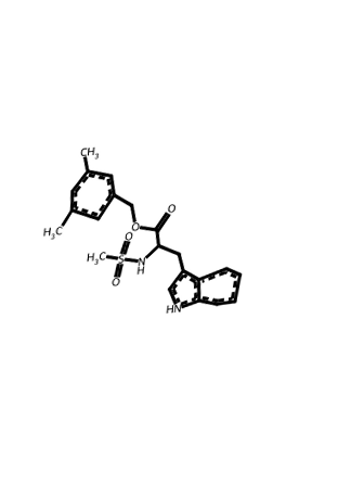 Cc1cc(C)cc(COC(=O)C(Cc2c[nH]c3ccccc23)NS(C)(=O)=O)c1